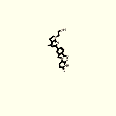 Cc1cc(-c2ccc3c(c2)CN(C2CCC(=O)NC2=O)C3=O)nc2c1CCN2CCO